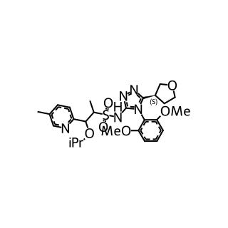 COc1cccc(OC)c1-n1c(NS(=O)(=O)C(C)C(OC(C)C)c2ccc(C)cn2)nnc1[C@@H]1CCOC1